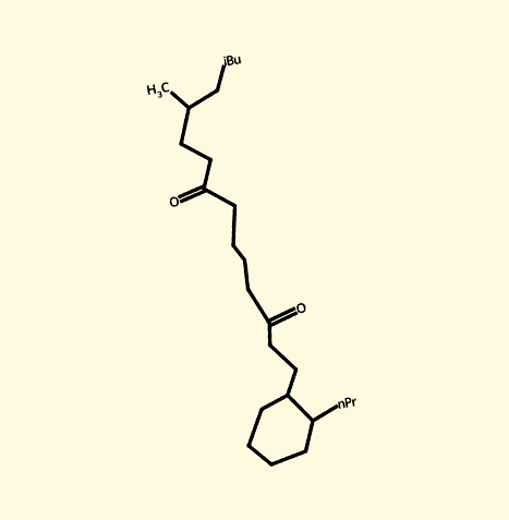 CCCC1CCCCC1CCC(=O)CCCCC(=O)CCC(C)CC(C)CC